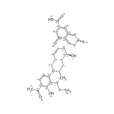 CCCC[C@H](O)[C@H](/C=C\CCOc1ccc(C(C)=O)c(O)c1CCC)C1=c2c(=O)cc(C(=O)O)oc2=CC(=S)C1